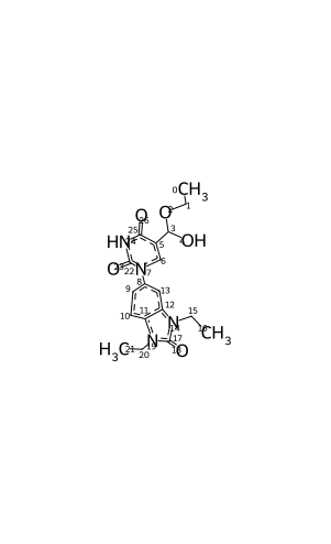 CCOC(O)c1cn(-c2ccc3c(c2)n(CC)c(=O)n3CC)c(=O)[nH]c1=O